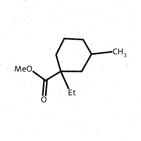 CCC1(C(=O)OC)CCCC(C)C1